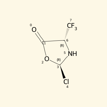 O=C1O[C@H](Cl)N[C@H]1C(F)(F)F